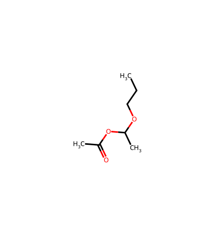 CCCOC(C)OC(C)=O